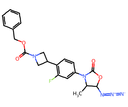 CC1C(N=[N+]=[N-])OC(=O)N1c1ccc(C2CN(C(=O)OCc3ccccc3)C2)c(F)c1